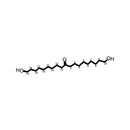 O=C(CCCCCCCCCO)CCCCCCCCCO